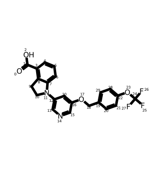 O=C(O)c1cccc2c1CCN2c1cncc(OCc2ccc(OC(F)(F)F)cc2)c1